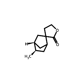 C[C@@H]1CC2C[C@H]1CC21CCOC1=O